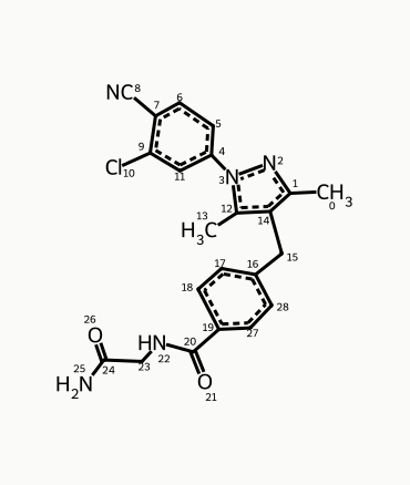 Cc1nn(-c2ccc(C#N)c(Cl)c2)c(C)c1Cc1ccc(C(=O)NCC(N)=O)cc1